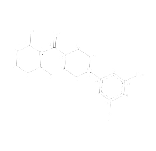 CC1CCCC(C)N1C(=O)C1CCN(c2cc(F)cc(F)c2)CC1